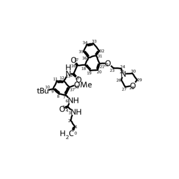 C=CCNC(=O)Nc1cc(C(C)(C)C)cc(NC(=O)C(=O)c2ccc(OCCN3CCOCC3)c3ccccc23)c1OC